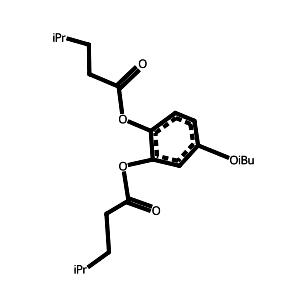 CC(C)CCC(=O)Oc1ccc(OCC(C)C)cc1OC(=O)CCC(C)C